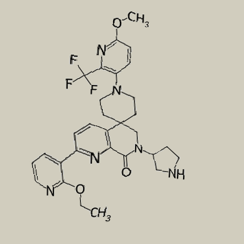 CCOc1ncccc1-c1ccc2c(n1)C(=O)N(C1CCNC1)CC21CCN(c2ccc(OC)nc2C(F)(F)F)CC1